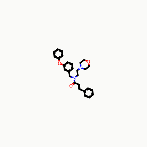 O=C(C=Cc1ccccc1)N(CCN1CCOCC1)Cc1cccc(Oc2ccccc2)c1